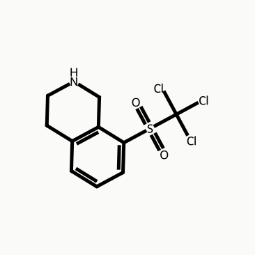 O=S(=O)(c1cccc2c1CNCC2)C(Cl)(Cl)Cl